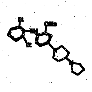 CCc1cccc(CC)c1Nc1ccc(N2CCC(N3CCCC3)CC2)cc1OC